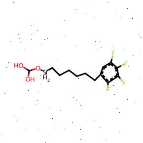 OC(O)O[SiH2]CCCCCCc1cc(F)c(F)c(F)c1F